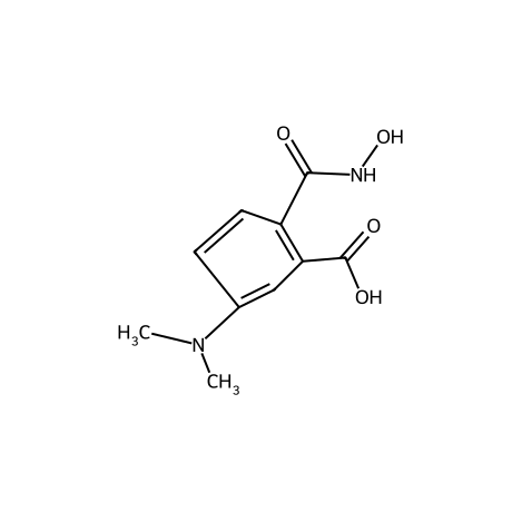 CN(C)c1ccc(C(=O)NO)c(C(=O)O)c1